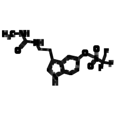 CNC(=O)NCCc1c[nH]c2ccc(OS(=O)(=O)C(F)(F)F)cc12